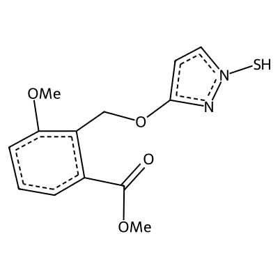 COC(=O)c1cccc(OC)c1COc1ccn(S)n1